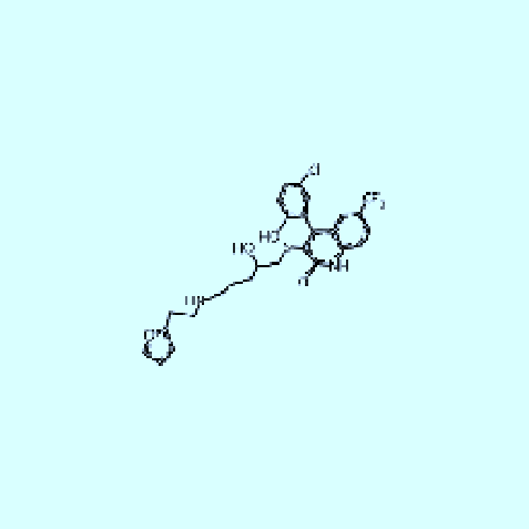 O=c1[nH]c2ccc(C(F)(F)F)cc2c(-c2cc(Cl)ccc2O)c1SCC(O)CCCNCCc1ccco1